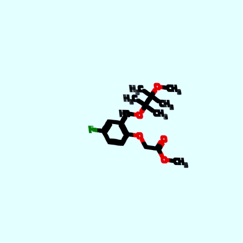 COC(=O)COc1ccc(F)cc1BOC(C)(C)C(C)(C)OC